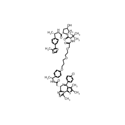 Cc1ncsc1-c1ccc([C@H](C)NC(=O)[C@@H]2C[C@@H](O)CN2C(=O)[C@@H](NC(=O)COCCOCCCOc2ccc([C@H](C)NC(=O)C[C@@H]3N=C(c4ccc(Cl)cc4)c4c(sc(C)c4C)-n4c(C)nnc43)cc2)C(C)(C)C)cc1